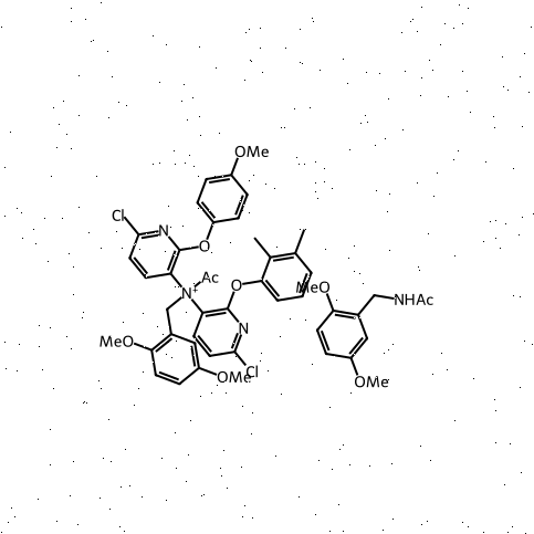 COc1ccc(OC)c(CNC(C)=O)c1.COc1ccc(Oc2nc(Cl)ccc2[N+](Cc2cc(OC)ccc2OC)(C(C)=O)c2ccc(Cl)nc2Oc2cccc(C)c2C)cc1